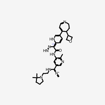 C=[N+]=C(NCCN1CCCC1(C)C)c1cnc(C)c(NC(=O)/C(N=N)=C2\C=CC(C3=CC=NCCC3C3COC3)=CN2)c1